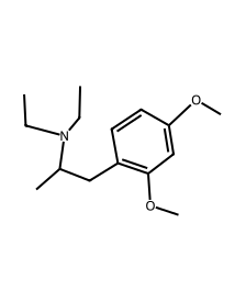 CCN(CC)C(C)Cc1ccc(OC)cc1OC